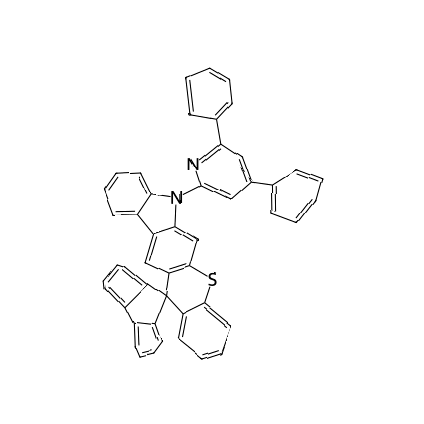 c1ccc(-c2cc(-c3ccccc3)nc(-n3c4ccccc4c4cc5c(cc43)Sc3ccccc3C53c4ccccc4-c4ccccc43)c2)cc1